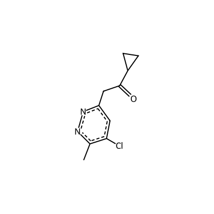 Cc1nnc(CC(=O)C2CC2)cc1Cl